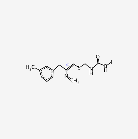 C=N/C(=C\SCNC(=O)BI)Cc1cccc(C)c1